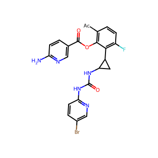 CC(=O)c1ccc(F)c(C2CC2NC(=O)Nc2ccc(Br)cn2)c1OC(=O)c1ccc(N)nc1